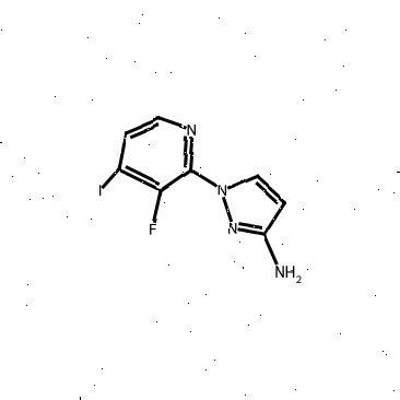 Nc1ccn(-c2nccc(I)c2F)n1